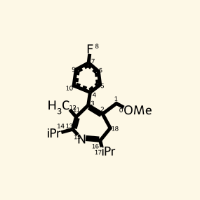 COCC1=C(c2ccc(F)cc2)C(C)=C(C(C)C)N=C(C(C)C)C1